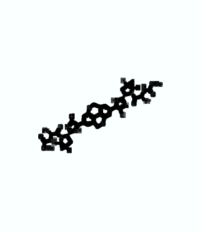 COC(=O)N[C@H](C(=O)N1[C@H](c2nc(Cl)c(-c3cc4c5c(c3)OCc3cc(-c6[nH]c([C@@H]7C[C@@H]8C[C@@H]8N7C(=O)[C@@H](NC(=O)OC)C(C)C)nc6Cl)cc(c3-5)OC4)[nH]2)C[C@@H]2C[C@@H]21)C(C)C